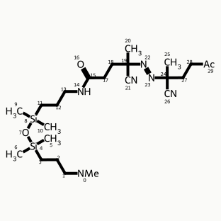 CNCCC[Si](C)(C)O[Si](C)(C)CCCNC(=O)CCC(C)(C#N)N=NC(C)(C#N)CCC(C)=O